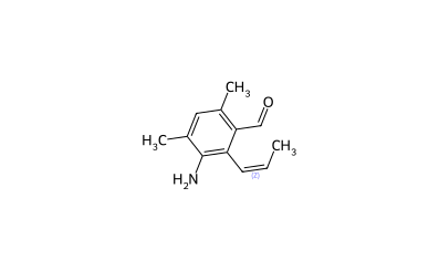 C/C=C\c1c(N)c(C)cc(C)c1C=O